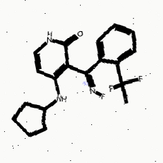 CC(F)(F)c1ccccc1/C(=N\F)c1c(NC2CCCC2)cc[nH]c1=O